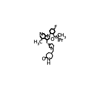 Cc1cncc2c1c(C[C@@H]1CCN(CC3CCNC(=O)CC3)C1)cn2-c1ccc(F)cc1C(=O)N(C)C(C)C